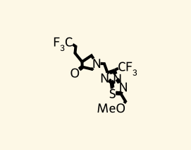 COCc1nn2c(C(F)(F)F)c(CN3CC(=O)C(CCC(F)(F)F)C3)nc2s1